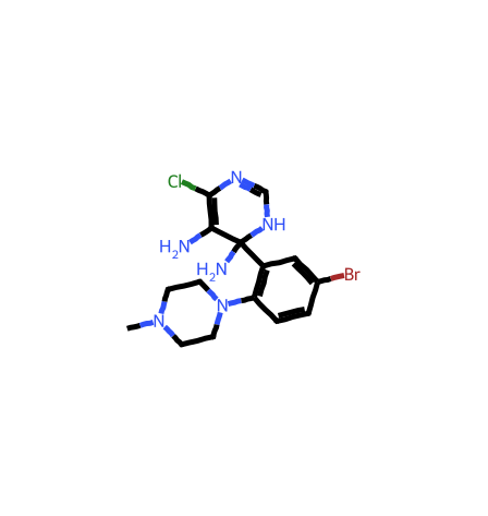 CN1CCN(c2ccc(Br)cc2C2(N)NC=NC(Cl)=C2N)CC1